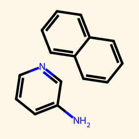 Nc1cccnc1.c1ccc2ccccc2c1